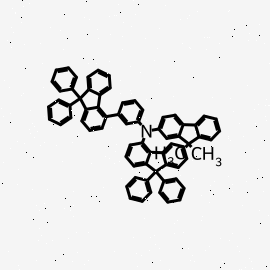 CC1(C)c2ccccc2-c2ccc(N(c3cccc(-c4cccc5c4-c4ccccc4C5(c4ccccc4)c4ccccc4)c3)c3cccc4c3-c3ccccc3C4(c3ccccc3)c3ccccc3)cc21